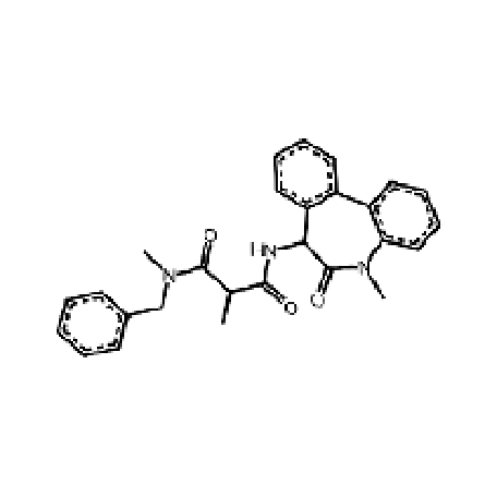 CC(C(=O)NC1C(=O)N(C)c2ccccc2-c2ccccc21)C(=O)N(C)Cc1ccccc1